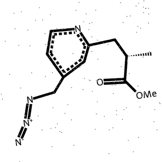 COC(=O)[C@@H](C)Cc1cc(CN=[N+]=[N-])ccn1